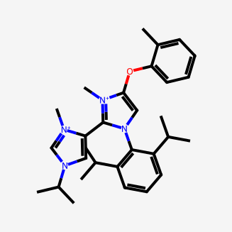 Cc1ccccc1Oc1cn(-c2c(C(C)C)cccc2C(C)C)c(-c2cn(C(C)C)c[n+]2C)[n+]1C